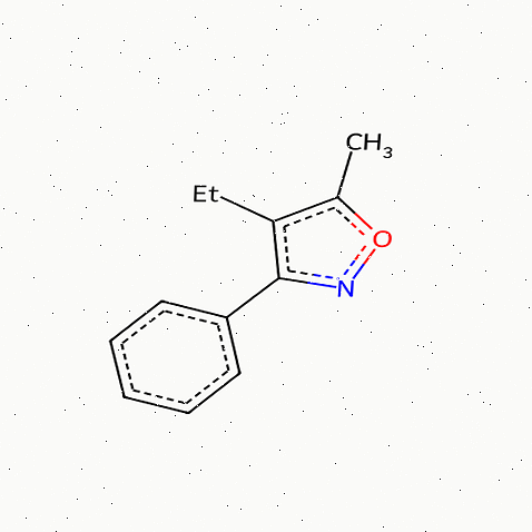 CCc1c(-c2ccccc2)noc1C